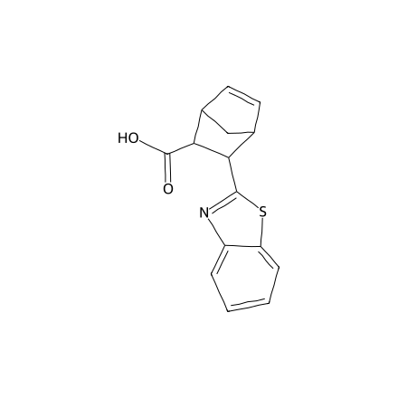 O=C(O)C1C2C=CC(C2)C1c1nc2ccccc2s1